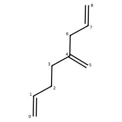 C=CCCC(=C)CC=C